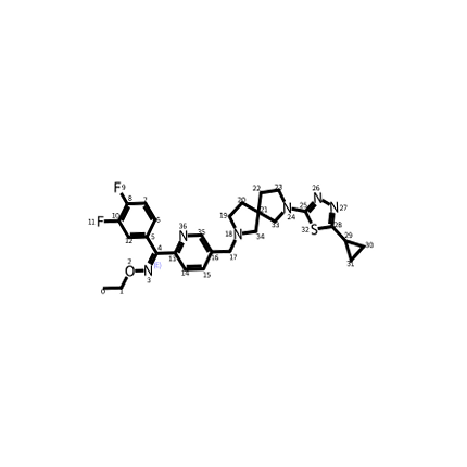 CCO/N=C(\c1ccc(F)c(F)c1)c1ccc(CN2CCC3(CCN(c4nnc(C5CC5)s4)C3)C2)cn1